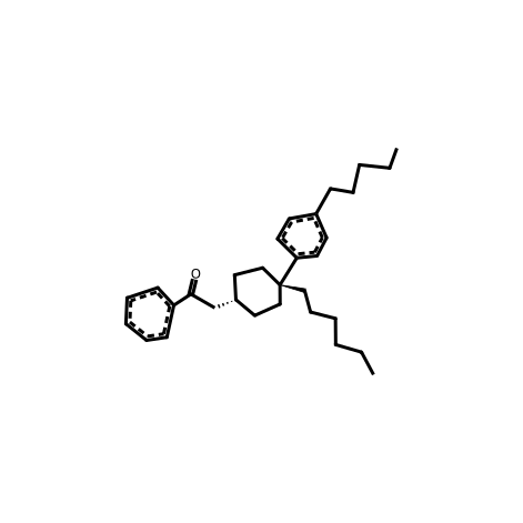 CCCCCC[C@]1(c2ccc(CCCCC)cc2)CC[C@@H](CC(=O)c2ccccc2)CC1